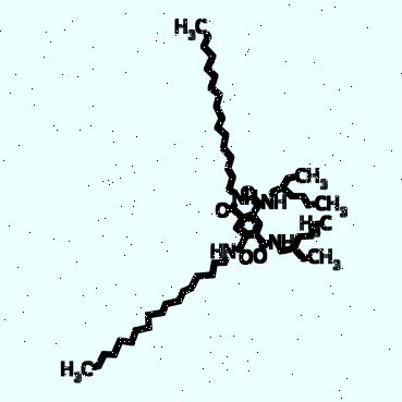 CCCCCCCCCCCCCCCCCCNC(=O)c1cc(C(=O)NCCCCCCCCCCCCCCCCC)c(C(=O)NCC(CC)CCCC)cc1C(=O)NCC(CC)CCCC